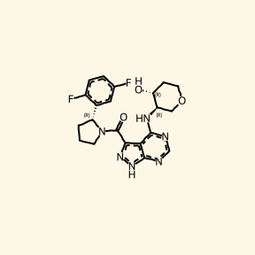 O=C(c1n[nH]c2ncnc(N[C@@H]3COCC[C@H]3O)c12)N1CCC[C@@H]1c1cc(F)ccc1F